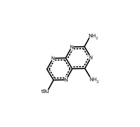 CC(C)(C)c1cnc2nc(N)nc(N)c2n1